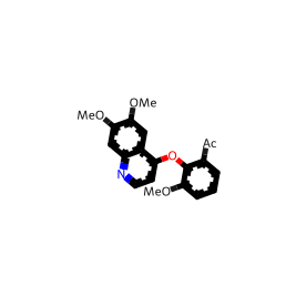 COc1cc2nccc(Oc3c(OC)cccc3C(C)=O)c2cc1OC